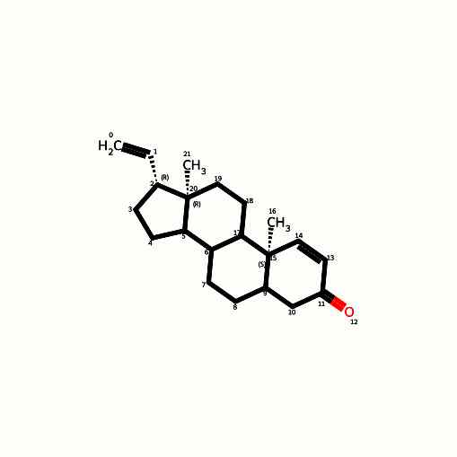 C=C[C@H]1CCC2C3CCC4CC(=O)C=C[C@]4(C)C3CC[C@@]21C